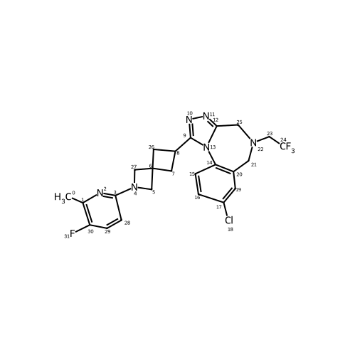 Cc1nc(N2CC3(CC(c4nnc5n4-c4ccc(Cl)cc4CN(CC(F)(F)F)C5)C3)C2)ccc1F